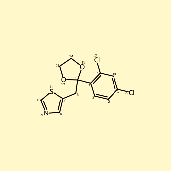 Clc1ccc(C2(Cc3cncs3)OCCO2)c(Cl)c1